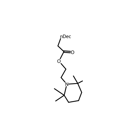 CCCCCCCCCCCC(=O)OCCN1C(C)(C)CCCC1(C)C